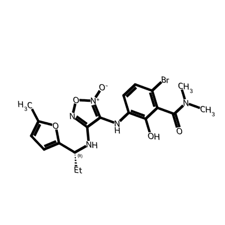 CC[C@@H](Nc1no[n+]([O-])c1Nc1ccc(Br)c(C(=O)N(C)C)c1O)c1ccc(C)o1